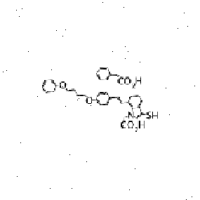 O=C(O)Cc1ccccc1.O=C(O)Cn1cc(S)c2cccc(/C=C/c3ccc(OCCCCOc4ccccc4)cc3)c21